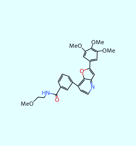 COCCNC(=O)c1cccc(-c2ccnc3cc(-c4cc(OC)c(OC)c(OC)c4)oc23)c1